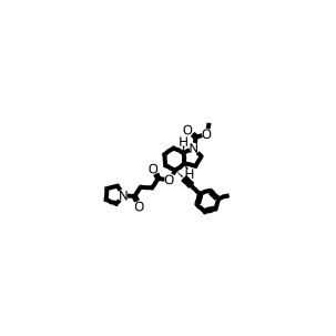 COC(=O)N1CC[C@@H]2[C@H]1CCC[C@]2(C#Cc1cccc(C)c1)OC(=O)CCC(=O)N1CCCC1